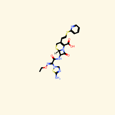 CCON=C(C(=O)NC1C(=O)N2C(C(=O)O)=C(C=CSc3ccccn3)CS[C@@H]12)N1CN=C(N)S1